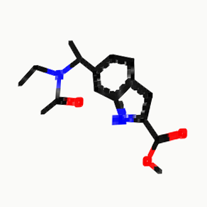 CCN(C(C)=O)C(C)c1ccc2cc(C(=O)OC)[nH]c2c1